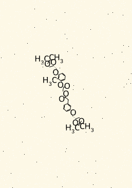 Cc1c(OC[C@@H]2COC(C)(C)O2)cccc1OC(=O)COC(=O)Cc1cccc(OC[C@@H]2COC(C)(C)O2)c1